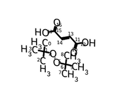 CC(C)(C)OOC(C)(C)C.O=C(O)C=CC(=O)O